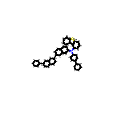 c1ccc(-c2ccc(N(c3ccc4ccc(-c5ccc6ccc(-c7ccccc7)cc6c5)cc4c3)c3cccc4sc5ccccc5c34)cc2)cc1